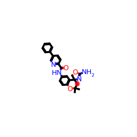 CC1(C)Oc2ccc(NC(=O)c3ccc(-c4ccccc4)cn3)cc2C2(COC(N)=N2)C12COC2